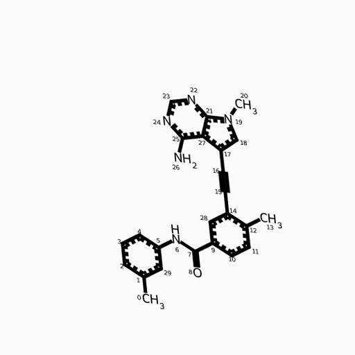 Cc1cccc(NC(=O)c2ccc(C)c(C#Cc3cn(C)c4ncnc(N)c34)c2)c1